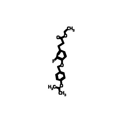 CCOC(=O)CCc1ccc(OCc2ccc(OC(C)C)cc2)c(F)c1